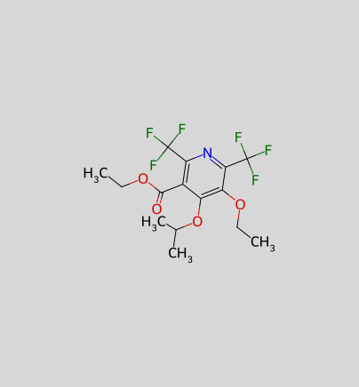 CCOC(=O)c1c(C(F)(F)F)nc(C(F)(F)F)c(OCC)c1OC(C)C